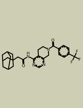 O=C(CC12CC3CC(CC(C3)C1)C2)Nc1ncnc2c1CCN(C(=O)c1ccc(C(F)(F)F)cc1)C2